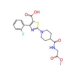 COC(=O)CNC(=O)C1CCN(c2nc(-c3ccccc3F)c(C(=O)O)s2)CC1